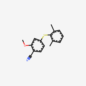 COc1cc(Sc2c(C)cccc2C)ccc1C#N